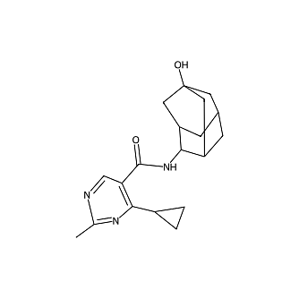 Cc1ncc(C(=O)NC2C3CC4CC2CC(O)(C4)C3)c(C2CC2)n1